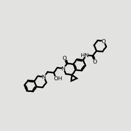 O=C(Nc1ccc2c(c1)C(=O)N(CC(O)CN1CCc3ccccc3C1)CC21CC1)C1CCOCC1